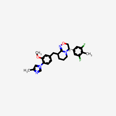 COc1cc(CC2CCCN3C2=NOC[C@@H]3c2cc(F)c(C)c(F)c2)ccc1-n1cnc(C)c1